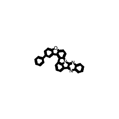 c1ccc(-c2ccc3oc4ccc5c(c6cccc7c8nc9ccccc9nc8n5c76)c4c3c2)cc1